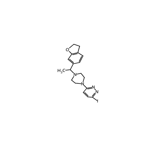 CC(c1ccc2c(c1)OCC2)N1CCN(c2ccc(I)nn2)CC1